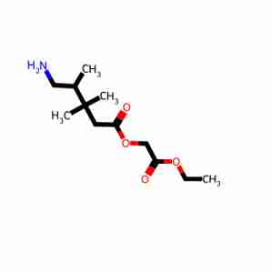 CCOC(=O)COC(=O)CC(C)(C)C(C)CN